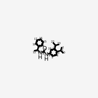 CC(C)c1ccc(NC(=O)NC(C)c2ccccc2)cc1C(C)C